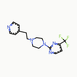 FC(F)(F)c1ccnc(N2CCN(CCc3ccncc3)CC2)n1